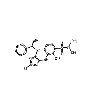 CN(C)S(=O)(=O)c1cccc(Nc2n[s+]([O-])nc2N[C@@H](c2ccccc2)C(C)(C)C)c1O